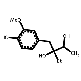 CCC(O)(Cc1ccc(O)c(OC)c1)C(C)O